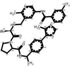 Cc1ncc(NC(=O)c2cccc(C(F)(F)F)c2)cc1CN[C@@H](C(=O)N1CCCC1C(=O)NC(C)c1ccc(-c2scnc2C)cc1)C(C)(C)C